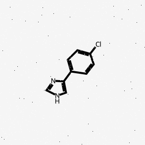 Clc1ccc(-c2c[nH][c]n2)cc1